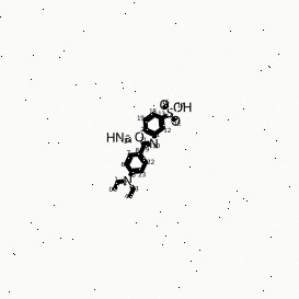 CCN(CC)c1ccc(-c2nc3cc(S(=O)(=O)O)ccc3o2)cc1.[NaH]